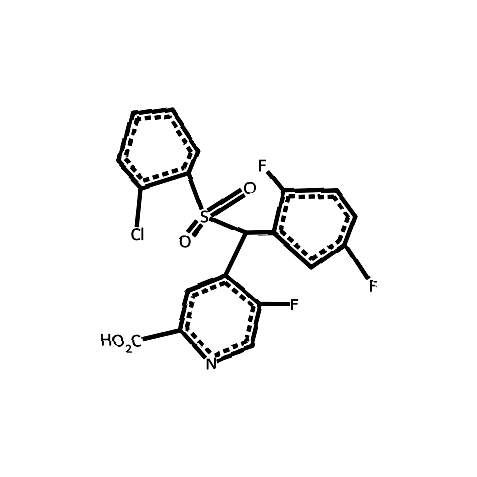 O=C(O)c1cc(C(c2cc(F)ccc2F)S(=O)(=O)c2ccccc2Cl)c(F)cn1